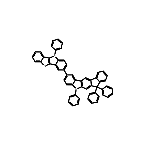 c1ccc(-n2c3ccc(-c4ccc5c(c4)c4oc6ccccc6c4n5-c4ccccc4)cc3c3cc4c(cc32)C(c2ccccc2)(c2ccccc2)c2ccccc2-4)cc1